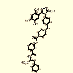 CC(C)c1cc(-c2nnc(O)n2-c2ccc(CN3CCN(C(=O)Oc4cncc(C(=O)NC(Cc5ccccc5)C(=O)O)c4)CC3)cc2)c(O)cc1O